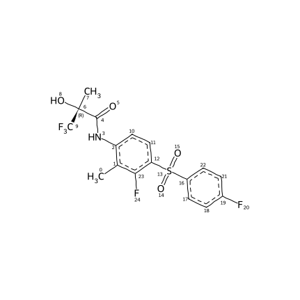 Cc1c(NC(=O)[C@@](C)(O)C(F)(F)F)ccc(S(=O)(=O)c2ccc(F)cc2)c1F